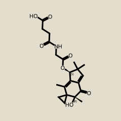 CC1=C2C(=CC(C)(C)[C@@H]2OC(=O)CNC(=O)CCC(=O)O)C(=O)[C@](C)(O)C12CC2